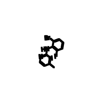 Cc1ccnc(Nc2c(F)cccc2Br)n1